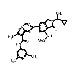 CSNc1cc(-c2ccn3nc(N)c(C(=O)Nc4cc(C)nc(C)c4)c3n2)cc2c1C(=O)N(C(C)C1CC1)C2